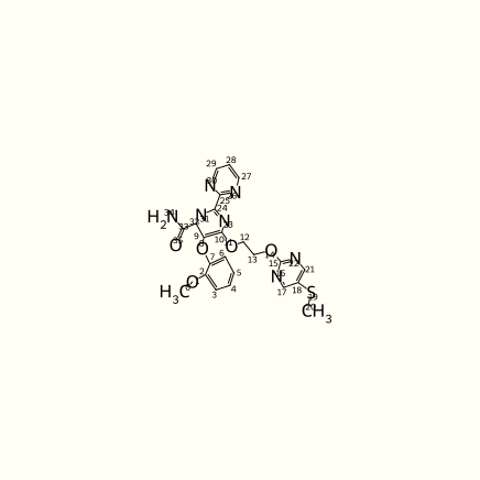 COc1ccccc1Oc1c(OCCOc2ncc(SC)cn2)nc(-c2ncccn2)nc1C(N)=O